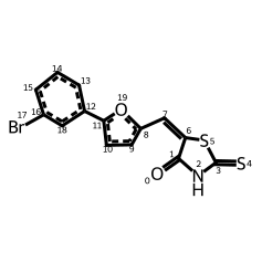 O=C1NC(=S)S/C1=C/c1ccc(-c2cccc(Br)c2)o1